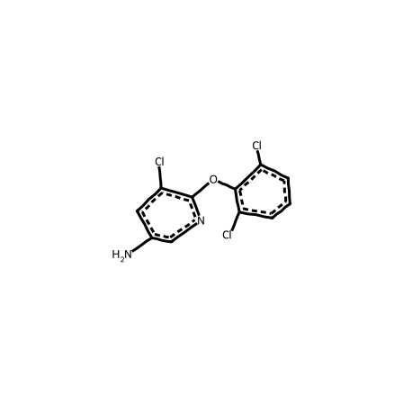 Nc1cnc(Oc2c(Cl)cccc2Cl)c(Cl)c1